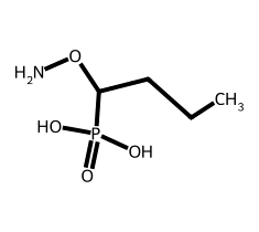 CCCC(ON)P(=O)(O)O